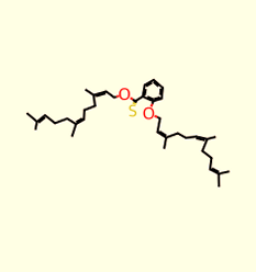 CC(C)=CCCC(C)=CCCC(C)=CCOC(=S)c1ccccc1OCC=C(C)CCC=C(C)CCC=C(C)C